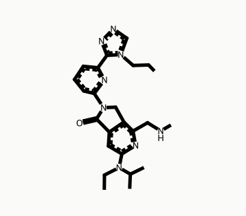 CCCn1cnnc1-c1cccc(N2Cc3c(cc(N(CC)C(C)C)nc3CNC)C2=O)n1